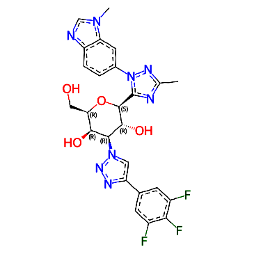 Cc1nc([C@@H]2O[C@H](CO)[C@H](O)[C@H](n3cc(-c4cc(F)c(F)c(F)c4)nn3)[C@H]2O)n(-c2ccc3ncn(C)c3c2)n1